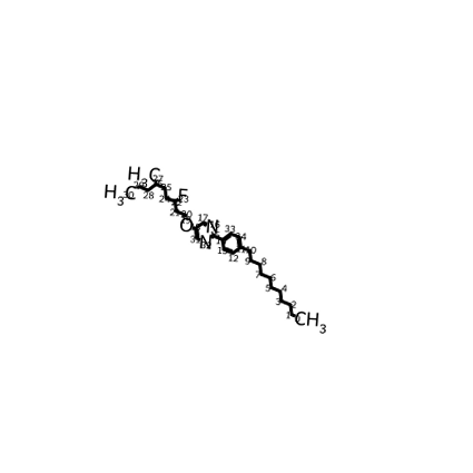 CCCCCCCCCCCc1ccc(-c2ncc(OCCC(F)CCC(C)CCC)cn2)cc1